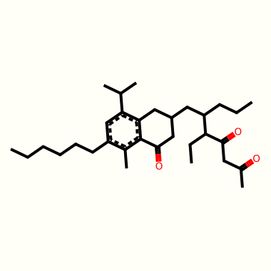 CCCCCCc1cc(C(C)C)c2c(c1C)C(=O)CC(CC(CCC)C(CC)C(=O)CC(C)=O)C2